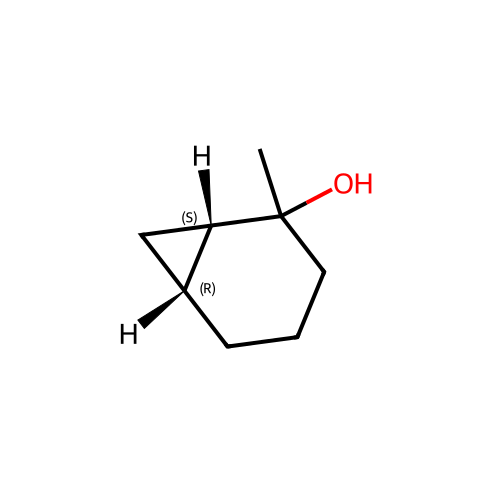 CC1(O)CCC[C@@H]2C[C@@H]21